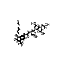 N#CSCCCCNn1c(=O)cc(C(F)(F)F)c2ccc(NC(=O)CN(CCN(CCN(CC(=O)O)CC(=O)O)CC(=O)O)CC(=O)O)cc21